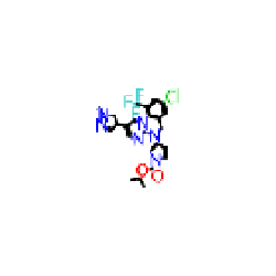 CC(C)OC(=O)N1CC[C@H](N(Cc2cc(Cl)cc(C(F)(F)F)c2)c2ncc(C3C=NN(C)C3)cn2)C1